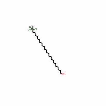 C[Si](Cl)(Cl)CCCCCCCCCCCCCCCCCCCCCCCCCO